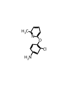 Cc1cccc(Oc2ccc(N)cc2Cl)n1